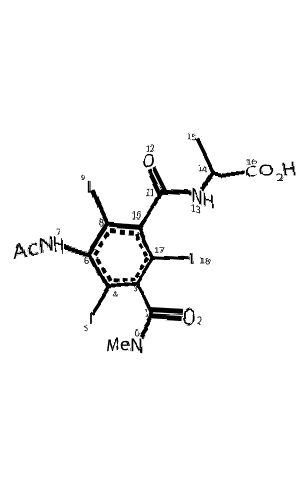 CNC(=O)c1c(I)c(NC(C)=O)c(I)c(C(=O)NC(C)C(=O)O)c1I